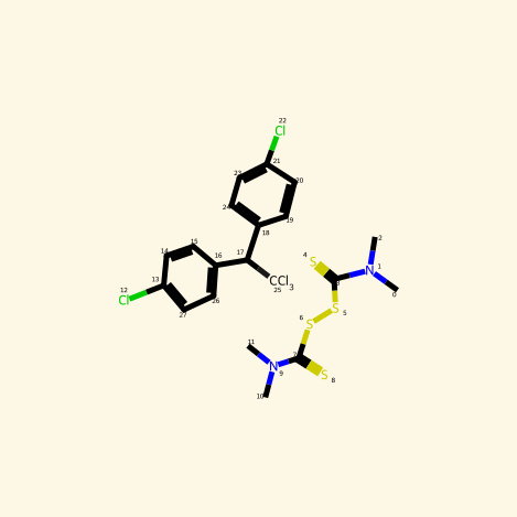 CN(C)C(=S)SSC(=S)N(C)C.Clc1ccc(C(c2ccc(Cl)cc2)C(Cl)(Cl)Cl)cc1